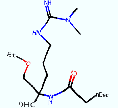 CCCCCCCCCCCC(=O)NC(C=O)(CCCNC(=N)N(C)C)COCC